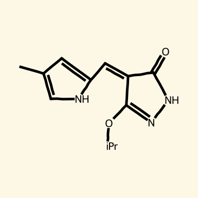 Cc1c[nH]c(C=C2C(=O)NN=C2OC(C)C)c1